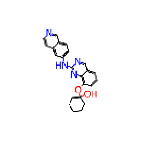 OC1(Oc2cccc3cnc(Nc4ccc5cnccc5c4)nc23)CCCCC1